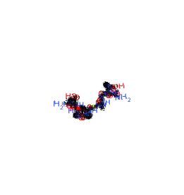 CC(=O)N[C@@H](CCN)C(=O)N[C@@H](Cc1cn(CC(=O)O)c2ccccc12)C(=O)N(C)CC(=O)N(C)CC(=O)N[C@@H](CC(C)C)C(=O)NCCSCC(=O)N[C@@H](Cc1ccc(O)cc1)C(=O)N1CCCC[C@H]1C(=O)NCC(=O)N1CCC[C@H]1C(=O)NCC(=O)N[C@@H](CCC(=O)O)C(=O)N1CCC[C@H]1C(N)=O